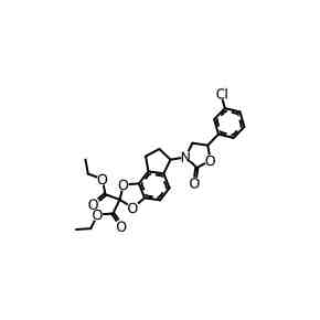 CCOC(=O)C1(C(=O)OCC)Oc2ccc3c(c2O1)CCC3N1CC(c2cccc(Cl)c2)OC1=O